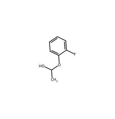 CC(O)Oc1ccccc1F